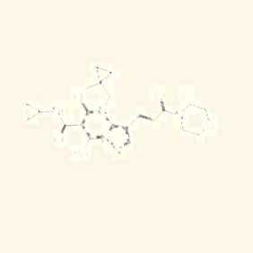 C[C@@H]1COCCN1C(=O)/C=C/c1cnn2c(O)c(C(=O)NC3CC3)c(=O)n(CC3(C)CC3)c12